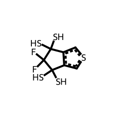 FC1(F)C(S)(S)c2cscc2C1(S)S